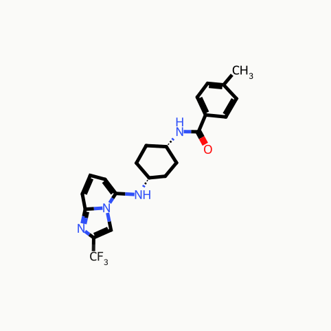 Cc1ccc(C(=O)N[C@H]2CC[C@@H](Nc3cccc4nc(C(F)(F)F)cn34)CC2)cc1